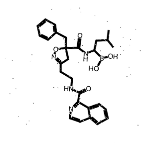 CC(C)CC(NC(=O)C1(Cc2ccccc2)CC(CCNC(=O)c2nccc3ccccc23)=NO1)B(O)O